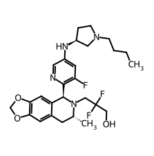 CCCCN1CC[C@H](Nc2cnc([C@@H]3c4cc5c(cc4C[C@@H](C)N3CC(F)(F)CO)OCO5)c(F)c2)C1